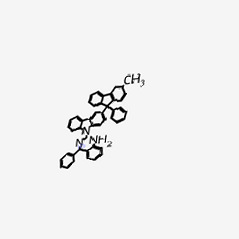 CC1C=CC2=C(C1)c1ccccc1C2(c1ccccc1)c1ccc2c(c1)c1ccccc1n2C/N=C(/c1ccccc1)c1ccccc1N